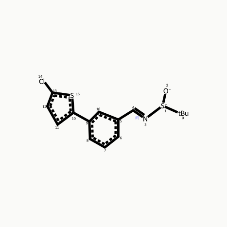 CC(C)(C)[S+]([O-])/N=C/c1cccc(-c2ccc(Cl)s2)c1